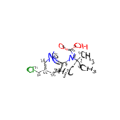 CC(C)(C)N(C(=O)O)c1ccc(CCl)cn1